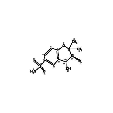 CC1(C)Oc2ccc(S(N)(=O)=O)cc2[C@@H](O)[C@@H]1Br